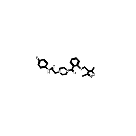 Cc1noc(C)c1CSc1ccccc1C(=O)N1CCN(CC(=O)Nc2ccc(F)cc2)CC1